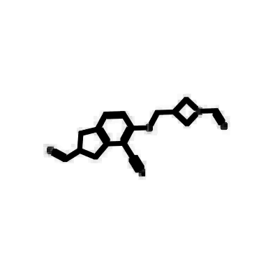 N#Cc1c(OCC2CN(C=O)C2)ccc2c1CC(C=O)C2